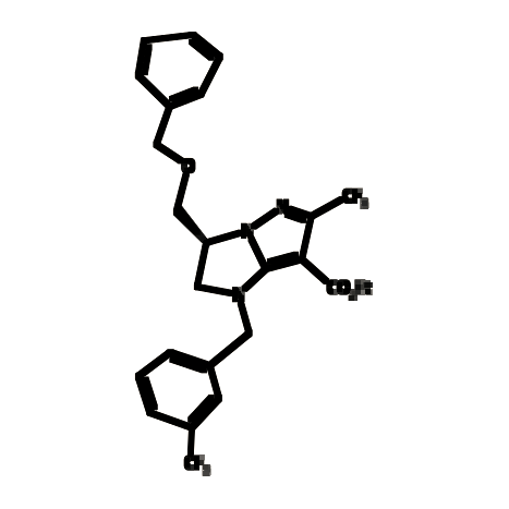 CCOC(=O)c1c(C(F)(F)F)nn2c1N(Cc1cccc(C(F)(F)F)c1)C[C@H]2COCc1ccccc1